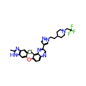 Cc1nc2ccc(Oc3ccc4ncc(-c5cnn(CCC6CCN(CC(F)(F)F)CC6)c5)nc4c3Cl)cc2[nH]1